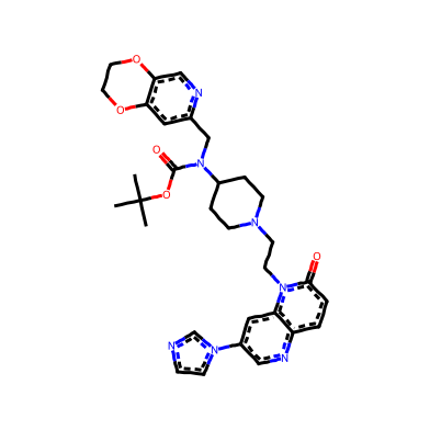 CC(C)(C)OC(=O)N(Cc1cc2c(cn1)OCCO2)C1CCN(CCn2c(=O)ccc3ncc(-n4ccnc4)cc32)CC1